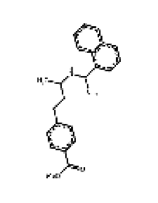 COC(=O)c1ccc(CCC(C)N[C@H](C)c2cccc3ccccc23)cc1